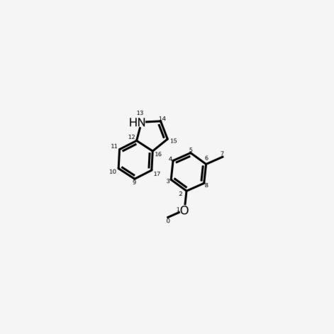 COc1cccc(C)c1.c1ccc2[nH]ccc2c1